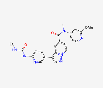 CCNC(=O)Nc1ccc(-c2cnn3ccc(C(=O)N(C)c4ccnc(OC)c4)cc23)cn1